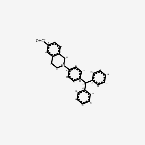 O=Cc1ccc2c(c1)CCN(c1ccc(C(c3ccccc3)c3ccccc3)cc1)C2